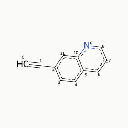 C#Cc1ccc2c[c]cnc2c1